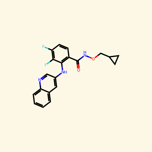 O=C(NOCC1CC1)c1ccc(F)c(F)c1Nc1cnc2ccccc2c1